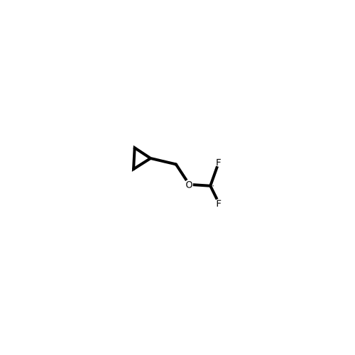 F[C](F)OCC1CC1